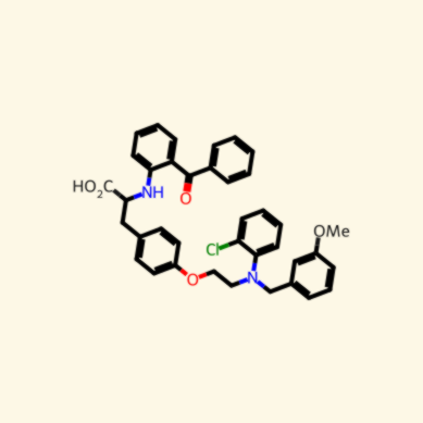 COc1cccc(CN(CCOc2ccc(CC(Nc3ccccc3C(=O)c3ccccc3)C(=O)O)cc2)c2ccccc2Cl)c1